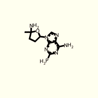 CC1(N)CCC(n2cnc3c(N)nc(P)nc32)O1